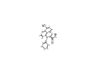 N#Cc1ccnc2c(C(c3ccccc3)c3cnc[nH]3)cccc12